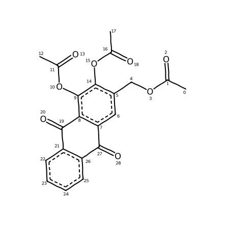 CC(=O)OCc1cc2c(c(OC(C)=O)c1OC(C)=O)C(=O)c1ccccc1C2=O